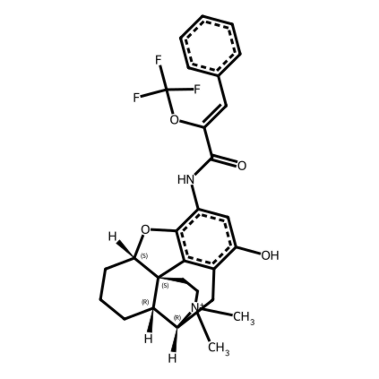 C[N+]1(C)CC[C@]23c4c5c(O)cc(NC(=O)C(=Cc6ccccc6)OC(F)(F)F)c4O[C@H]2CCC[C@H]3[C@H]1C5